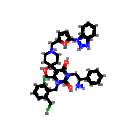 N[C@@H](Cn1c(=O)c2c(n(Cc3c(F)cccc3CF)c1=O)COC21CCN(Cc2ccc(-n3nnc4ccccc43)o2)CC1)c1ccccc1